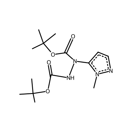 Cn1nccc1N(NC(=O)OC(C)(C)C)C(=O)OC(C)(C)C